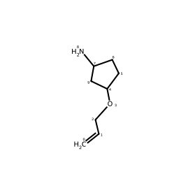 C=CCOC1CCC(N)C1